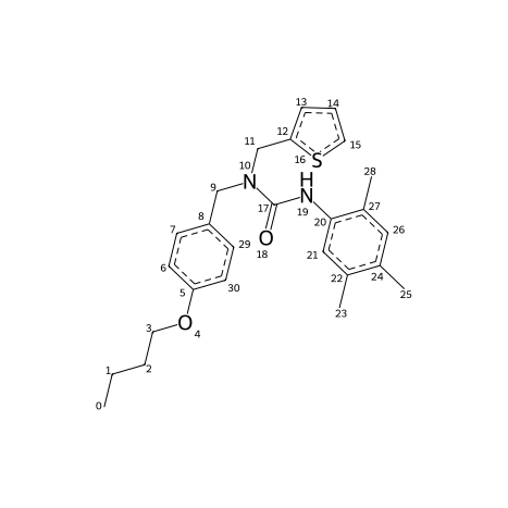 CCCCOc1ccc(CN(Cc2cccs2)C(=O)Nc2cc(C)c(C)cc2C)cc1